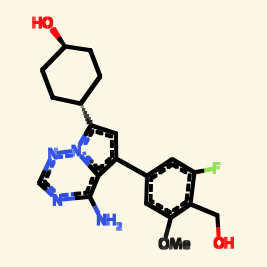 COc1cc(-c2cc([C@H]3CC[C@H](O)CC3)n3ncnc(N)c23)cc(F)c1CO